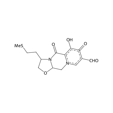 CSCCC1COC2Cn3cc(C=O)c(=O)c(O)c3C(=O)N12